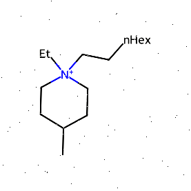 CCCCCCCC[N+]1(CC)CCC(C)CC1